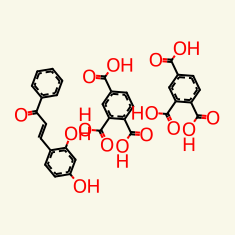 O=C(C=Cc1ccc(O)cc1O)c1ccccc1.O=C(O)c1ccc(C(=O)O)c(C(=O)O)c1.O=C(O)c1ccc(C(=O)O)c(C(=O)O)c1